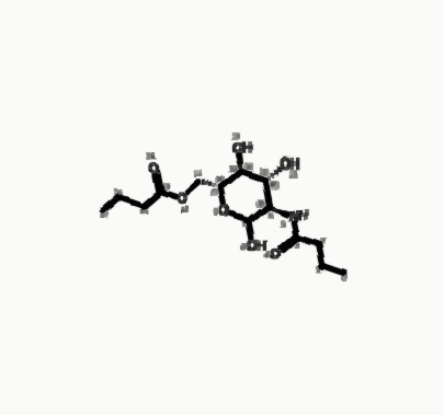 CCCC(=O)N[C@H]1C(O)O[C@H](COC(=O)CCC)[C@@H](O)[C@@H]1O